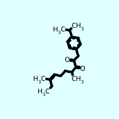 CCC(C)=CCCC(C)C(=O)C(=O)Cc1ccc(C(C)C)cc1